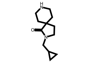 O=C1N(CC2CC2)CCC12CCNCC2